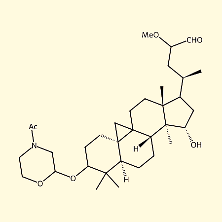 COC(C=O)C[C@@H](C)C1C[C@H](O)[C@@]2(C)[C@@H]3CC[C@H]4C(C)(C)C(OC5CN(C(C)=O)CCO5)CC[C@@]45CC35CC[C@]12C